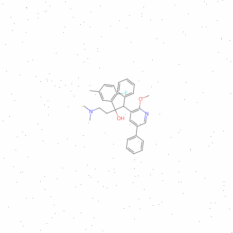 COc1ncc(-c2ccccc2)cc1C(c1ccccc1)C(O)(CCN(C)C)c1cc(C)ccc1F